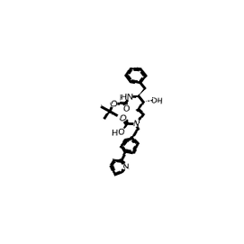 CC(C)(C)OC(=O)N[C@@H](Cc1ccccc1)[C@H](O)CCN(Cc1ccc(-c2ccccn2)cc1)C(=O)O